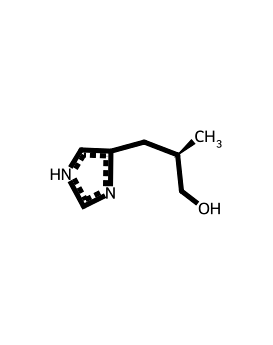 C[C@@H](CO)Cc1c[nH]cn1